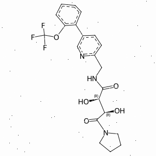 O=C(NCc1ccc(-c2ccccc2OC(F)(F)F)cn1)[C@H](O)[C@@H](O)C(=O)N1CCCC1